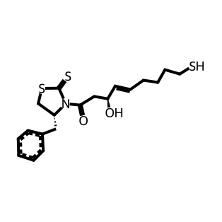 O=C(C[C@H](O)/C=C/CCCCS)N1C(=S)SC[C@H]1Cc1ccccc1